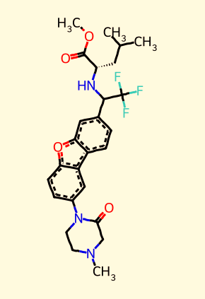 COC(=O)[C@H](CC(C)C)NC(c1ccc2c(c1)oc1ccc(N3CCN(C)CC3=O)cc12)C(F)(F)F